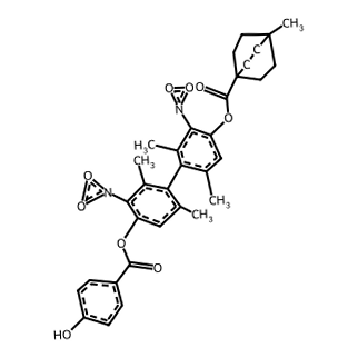 Cc1cc(OC(=O)c2ccc(O)cc2)c(-n2oo2)c(C)c1-c1c(C)cc(OC(=O)C23CCC(C)(CC2)CC3)c(-n2oo2)c1C